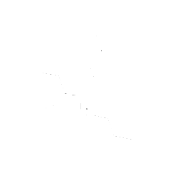 CCCO[SiH](OCCC)C(Cl)CC